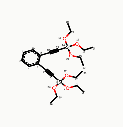 CCO[Si](C#Cc1ccccc1C#C[Si](OCC)(OCC)OCC)(OCC)OCC